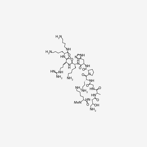 CNC(CCCCN)C(=O)N[C@H](C(=O)NC(C)C(=O)NCC(=O)N[C@H](CCCN)C(=O)N1CCC[C@H]1C(=O)NC(Cc1cnc[nH]1)C(=O)N[C@@H](CCCCN)C(=O)N/C(=C\CCNC(=N)N)C(=O)N[C@@H](CCCCN)C(=O)NCCCCN)[C@@H](O)CN